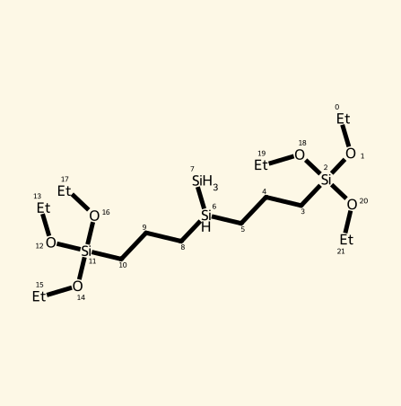 CCO[Si](CCC[SiH]([SiH3])CCC[Si](OCC)(OCC)OCC)(OCC)OCC